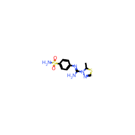 CC1S[C]=NN1C(N)=Nc1ccc(S(N)(=O)=O)cc1